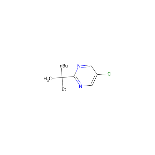 CCCCC(C)(CC)c1ncc(Cl)cn1